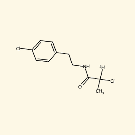 [2H]C(C)(Cl)C(=O)NCCc1ccc(Cl)cc1